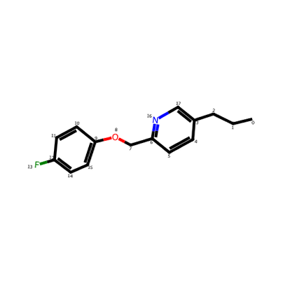 CCCc1ccc(COc2ccc(F)cc2)nc1